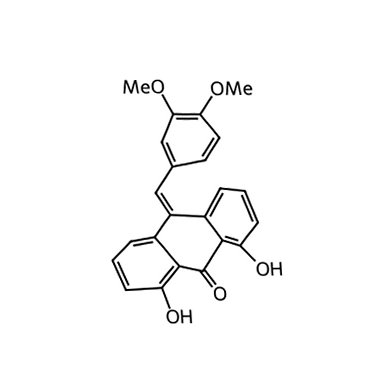 COc1ccc(C=C2c3cccc(O)c3C(=O)c3c(O)cccc32)cc1OC